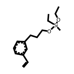 C=Cc1cccc(CCCO[Si](C)(CC)OCC)c1